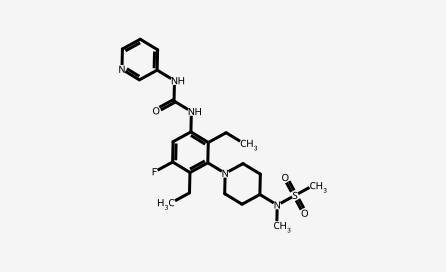 CCc1c(F)cc(NC(=O)Nc2cccnc2)c(CC)c1N1CCC(N(C)S(C)(=O)=O)CC1